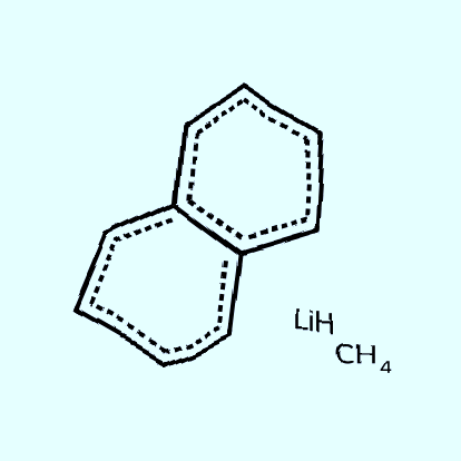 C.[LiH].c1ccc2ccccc2c1